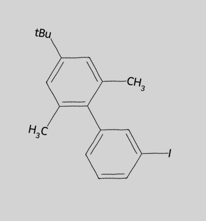 Cc1cc(C(C)(C)C)cc(C)c1-c1cccc(I)c1